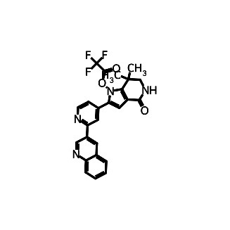 CC1(C)CNC(=O)c2cc(-c3ccnc(-c4cnc5ccccc5c4)c3)n(OC(=O)C(F)(F)F)c21